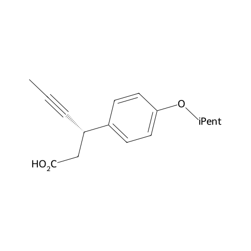 CC#C[C@@H](CC(=O)O)c1ccc(OC(C)CCC)cc1